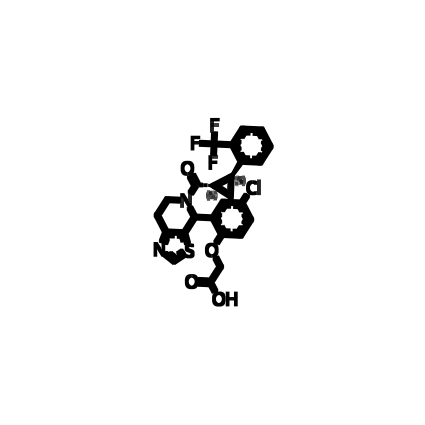 O=C(O)COc1ccc(Cl)cc1C1c2scnc2CCN1C(=O)[C@H]1C[C@@H]1c1ccccc1C(F)(F)F